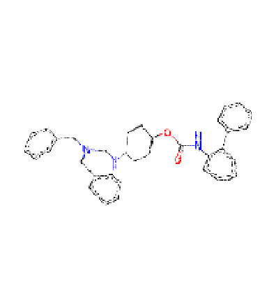 O=C(Nc1ccccc1-c1ccccc1)OC1CCC(NCN(Cc2ccccc2)Cc2ccccc2)CC1